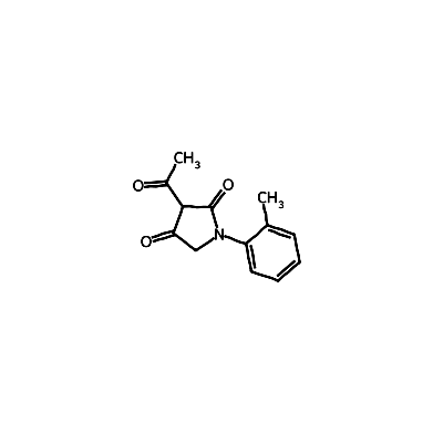 CC(=O)C1C(=O)CN(c2ccccc2C)C1=O